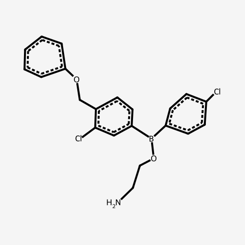 NCCOB(c1ccc(Cl)cc1)c1ccc(COc2ccccc2)c(Cl)c1